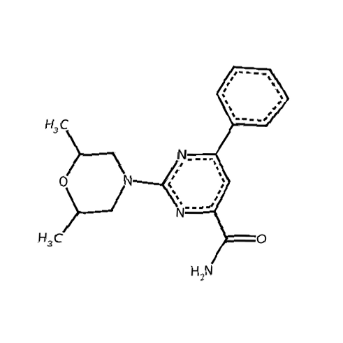 CC1CN(c2nc(C(N)=O)cc(-c3ccccc3)n2)CC(C)O1